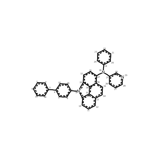 c1ccc(-c2ccc(-n3c4cccc5ccc6c(N(c7ccccc7)c7cccnc7)ccc3c6c54)cc2)cc1